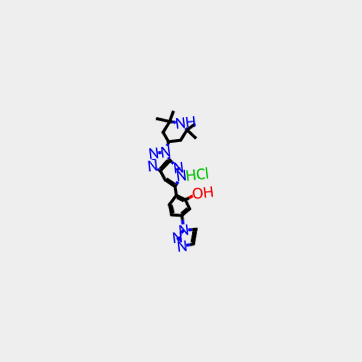 CC1(C)CC(n2nnc3cc(-c4ccc(-n5ccnn5)cc4O)nnc32)CC(C)(C)N1.Cl